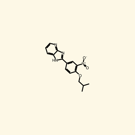 CC(C)COc1ccc(-c2nc3ncccc3[nH]2)cc1[N+](=O)[O-]